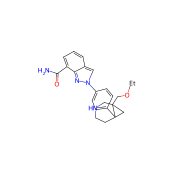 CCOCC12CNCCC1(c1ccc(-n3cc4cccc(C(N)=O)c4n3)cc1)C2